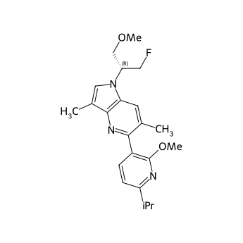 COC[C@H](CF)n1cc(C)c2nc(-c3ccc(C(C)C)nc3OC)c(C)cc21